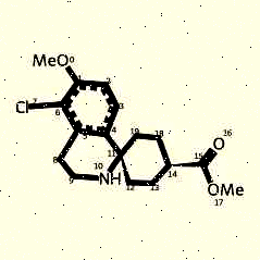 COc1ccc2c(c1Cl)CCN[C@]21CC[C@H](C(=O)OC)CC1